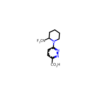 O=C(O)c1ccc(N2CCCCC2NC(F)(F)F)nn1